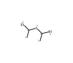 CCC(C)SC(C)CC